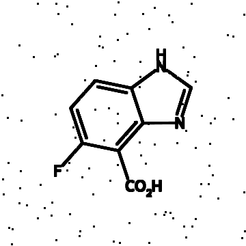 O=C(O)c1c(F)ccc2[nH]cnc12